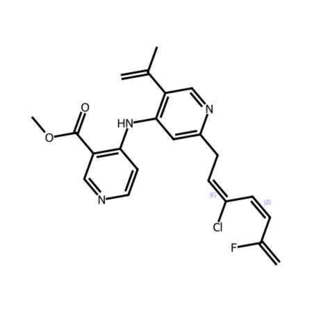 C=C(F)/C=C\C(Cl)=C/Cc1cc(Nc2ccncc2C(=O)OC)c(C(=C)C)cn1